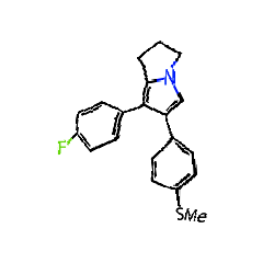 CSc1ccc(-c2cn3c(c2-c2ccc(F)cc2)CCC3)cc1